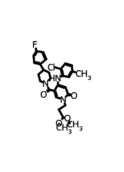 COC(CCn1cc(C(=O)N2CCC(c3ccc(F)cc3)CC2)c(Nc2cc(C)ccc2Cl)cc1=O)OC